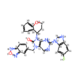 O=c1n(Cc2ccc3nonc3c2)c2cnc(-n3cnc4ccc(F)cc43)nc2n1[C@@H]1CCOc2ccccc21